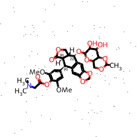 COc1cc([C@@H]2c3cc4c(cc3[C@@H](OC3OC5COC(C)OC5C(O)C3O)[C@H]3COC(=O)[C@H]23)OCO4)cc(OC)c1OC(=O)CN(C)C